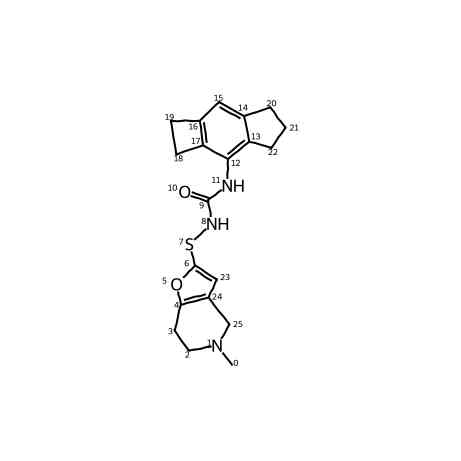 CN1CCc2oc(SNC(=O)Nc3c4c(cc5c3CC5)CCC4)cc2C1